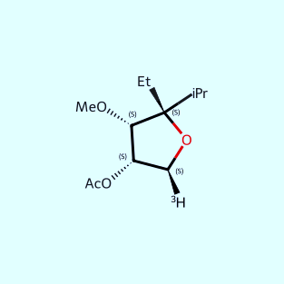 [3H][C@@H]1O[C@@](CC)(C(C)C)[C@@H](OC)[C@H]1OC(C)=O